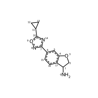 NC1COc2cc(-c3noc(C4CC4)n3)ccc21